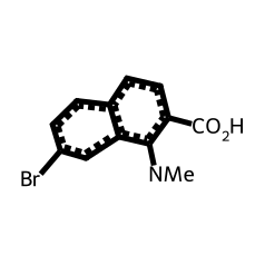 CNc1c(C(=O)O)ccc2ccc(Br)cc12